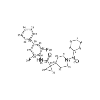 O=C(C1CCCCC1)N1CCC(C2(C(=O)Nc3c(F)cc(-c4ccccc4)cc3F)CC2)CC1